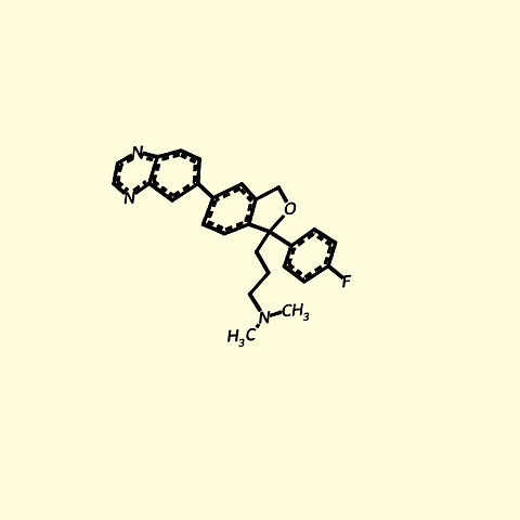 CN(C)CCCC1(c2ccc(F)cc2)OCc2cc(-c3ccc4nccnc4c3)ccc21